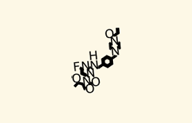 C=CC(=O)N1CCN(Cc2ccc(CNc3nc(F)cc(N4C(=O)OCC4C(C)OC)n3)cc2)CC1